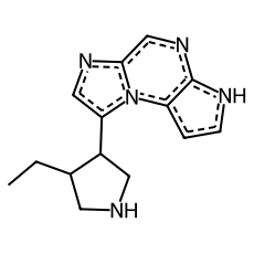 CCC1CNCC1c1cnc2cnc3[nH]ccc3n12